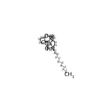 CCCCCCCCCCCCNc1cccc2c1C(=O)OC21c2ccccc2Oc2ccccc21